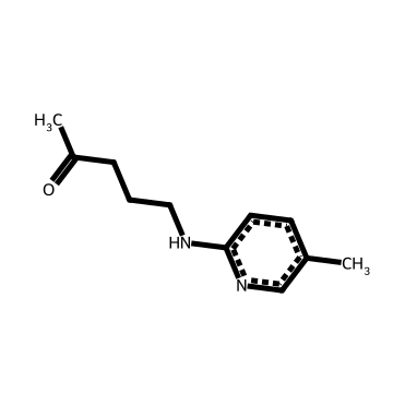 CC(=O)CCCNc1ccc(C)cn1